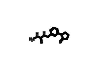 CNC(=O)NCc1cccc(N2CCCC2=O)c1